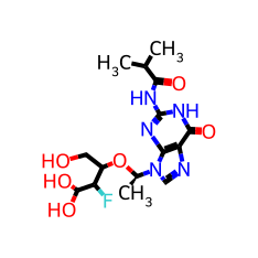 CC(C)C(=O)Nc1nc2c(ncn2[C@@H](C)OC(CO)C(F)C(O)O)c(=O)[nH]1